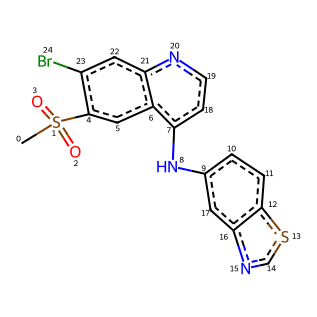 CS(=O)(=O)c1cc2c(Nc3ccc4scnc4c3)ccnc2cc1Br